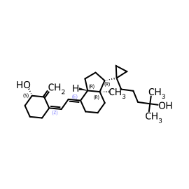 C=C1/C(=C\C=C2/CCC[C@]3(C)[C@@H](C4(CCCC(C)(C)O)CC4)CC[C@@H]23)CCC[C@@H]1O